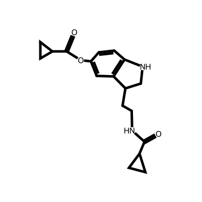 O=C(NCCC1CNc2ccc(OC(=O)C3CC3)cc21)C1CC1